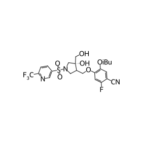 CC(C)COc1cc(C#N)c(F)cc1OCC1CN(S(=O)(=O)c2ccc(C(F)(F)F)nc2)C[C@@]1(O)CO